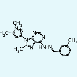 Cc1cccc(C=NNc2ncnc3c2nc(C)n3-c2cc(C)n(C)n2)c1